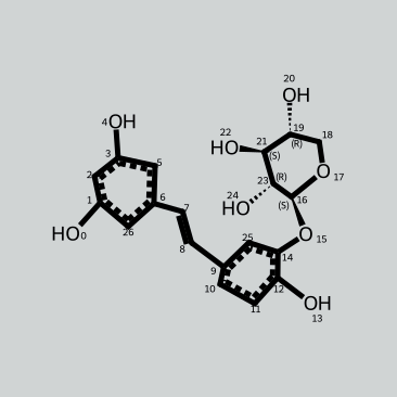 Oc1cc(O)cc(C=Cc2ccc(O)c(O[C@@H]3OC[C@@H](O)[C@H](O)[C@H]3O)c2)c1